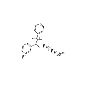 CC(c1ccccc1)[N+](C)(C)c1ccccc1.[F-].[F-].[F-].[F-].[F-].[F-].[Sb+3]